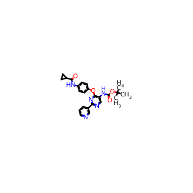 CC(C)(C)OC(=O)Nc1cnc(-c2cccnc2)nc1Oc1ccc(NC(=O)C2CC2)cc1